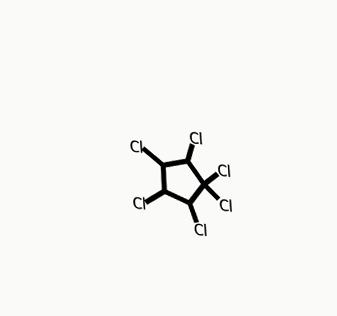 ClC1C(Cl)C(Cl)C(Cl)(Cl)C1Cl